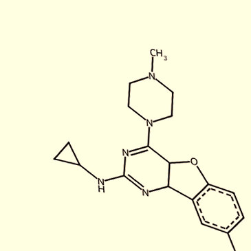 CN1CCN(C2=NC(NC3CC3)=NC3c4cc(Cl)ccc4OC23)CC1